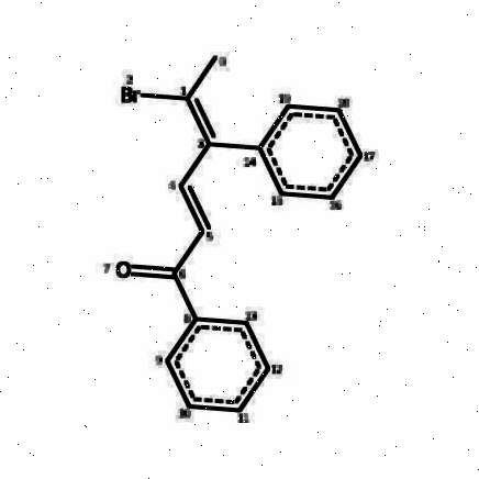 C/C(Br)=C(/C=C/C(=O)c1ccccc1)c1ccccc1